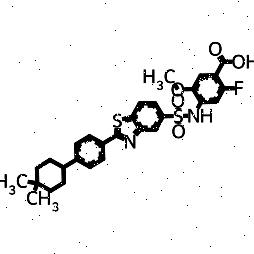 COc1cc(C(=O)O)c(F)cc1NS(=O)(=O)c1ccc2sc(-c3ccc(C4CCC(C)(C)CC4)cc3)nc2c1